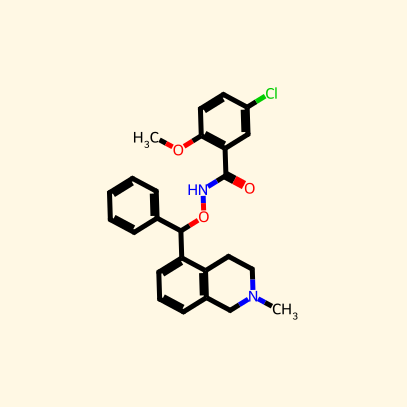 COc1ccc(Cl)cc1C(=O)NOC(c1ccccc1)c1cccc2c1CCN(C)C2